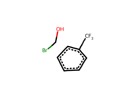 FC(F)(F)c1ccccc1.OCBr